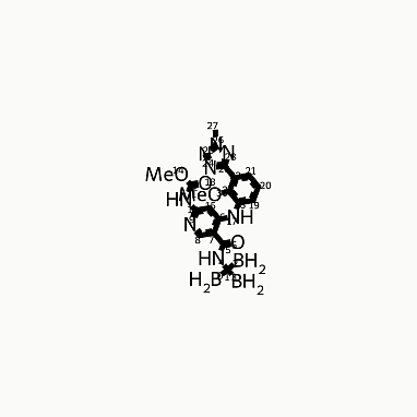 BC(B)(B)NC(=O)c1cnc(NC(=O)OC)cc1Nc1cccc(-c2nnn(C)n2)c1OC